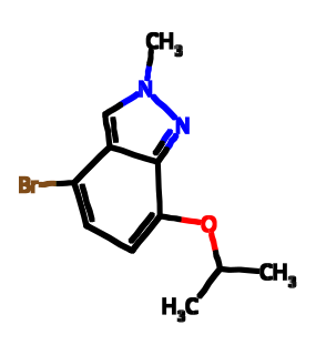 CC(C)Oc1ccc(Br)c2cn(C)nc12